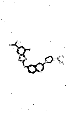 CC(O)c1cc(F)c2nc(Sc3ccc4ncc(N5CC[C@H](N(C)C)C5)cc4c3)nn2c1